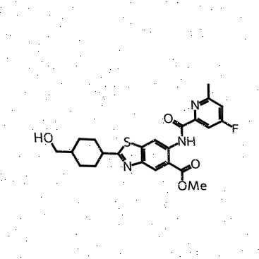 COC(=O)c1cc2nc(C3CCC(CO)CC3)sc2cc1NC(=O)c1cc(F)cc(C)n1